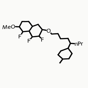 CCCC(CCCCOC1CC2CCC(OC)C(F)C2C(F)C1F)C1CCC(C)CC1